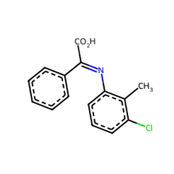 Cc1c(Cl)cccc1N=C(C(=O)O)c1ccccc1